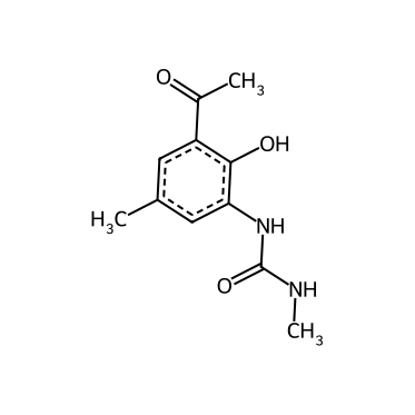 CNC(=O)Nc1cc(C)cc(C(C)=O)c1O